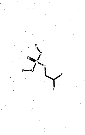 O=P(OF)(OF)OCC(F)F